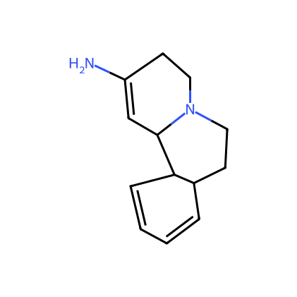 NC1=CC2C3C=CC=CC3CCN2CC1